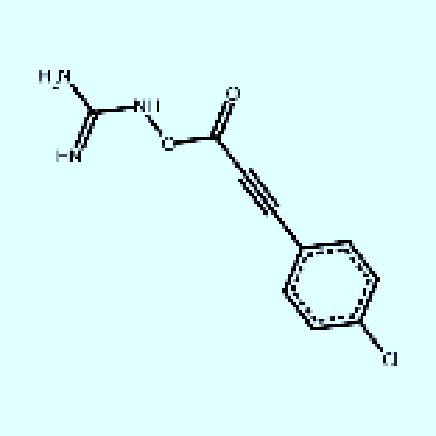 N=C(N)NOC(=O)C#Cc1ccc(Cl)cc1